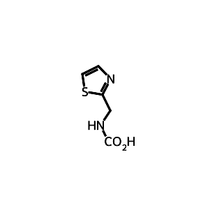 O=C(O)NCc1nccs1